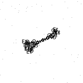 CCO[Si](CCCNC(=O)N(CC1CO1)c1ccc(C(C)(C)c2ccc(C(C)(C)c3ccc(N(C(=O)NCCC[Si](OCC)(OCC)OCC)C(=O)NCCC[Si](OCC)(OCC)OCC)cc3)cc2)cc1)(OCC)OCC